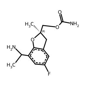 CC(N)c1cc(F)cc2c1O[C@@](C)(COC(N)=O)C2